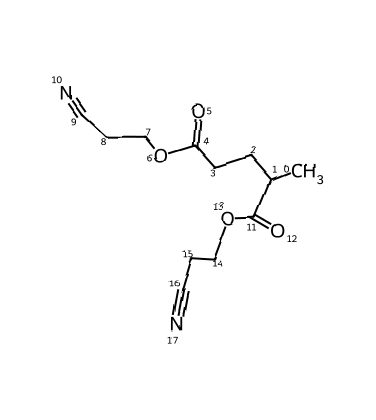 CC(CCC(=O)OCCC#N)C(=O)OCCC#N